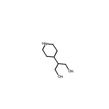 OCC(CO)C1CCNCC1